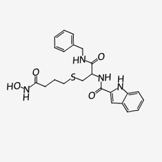 O=C(CCCSCC(NC(=O)c1cc2ccccc2[nH]1)C(=O)NCc1ccccc1)NO